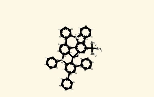 BC(B)(B)c1cc2c3c4c1c1ccccc1n4-c1ccccc1-c1ccc4c(c1-3)C2(C)c1c(-c2ccccc2)cc(-c2ccccc2)cc1N4c1ccccc1